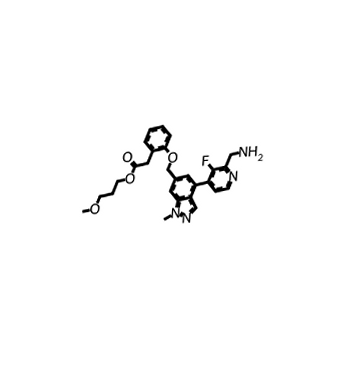 COCCCOC(=O)Cc1ccccc1OCc1cc(-c2ccnc(CN)c2F)c2cnn(C)c2c1